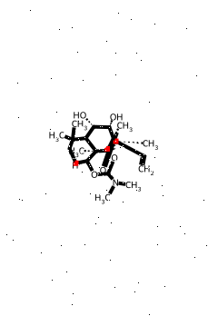 C=C[C@@]1(C)CC(=O)[C@@]23OC(N(C)C)O[C@H]4CCC(C)(C)C([C@H](O)[C@H](O)[C@@]2(C)O1)[C@]43C